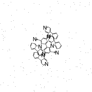 N#Cc1cc(-n2c3ccccc3c3ccncc32)cc(-c2cc(-n3c4ccccc4c4ccncc43)cc(C#N)c2-n2c3ccccc3c3ccncc32)c1-n1c2ccccc2c2ccncc21